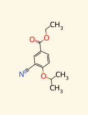 CCOC(=O)c1ccc(OC(C)C)c(C#N)c1